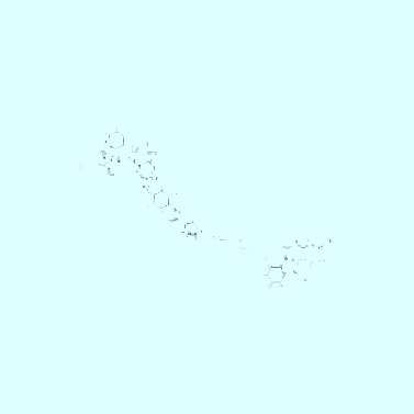 CN(c1ncccc1CNc1nc(Nc2ccc(NC(=O)c3cn(CCOCCOCCCc4cccc5c4C(=O)N(C4CCC(=O)NC4=O)C5=O)nn3)cc2)ncc1C(F)(F)F)S(C)(=O)=O